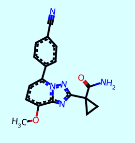 COc1ccc(-c2ccc(C#N)cc2)n2nc(C3(C(N)=O)CC3)nc12